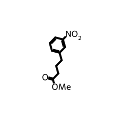 COC(=O)CCCc1cccc([N+](=O)[O-])c1